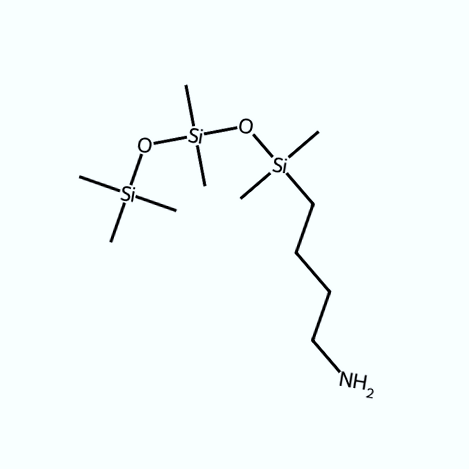 C[Si](C)(C)O[Si](C)(C)O[Si](C)(C)CCCCN